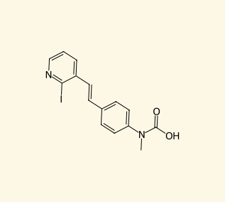 CN(C(=O)O)c1ccc(/C=C/c2cccnc2I)cc1